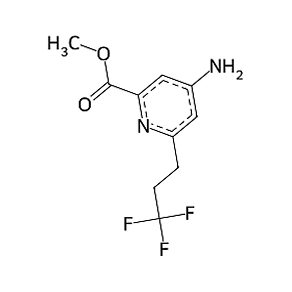 COC(=O)c1cc(N)cc(CCC(F)(F)F)n1